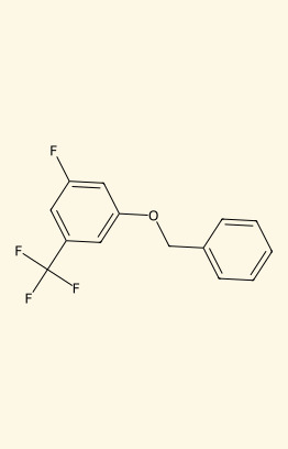 Fc1cc(OCc2ccccc2)cc(C(F)(F)F)c1